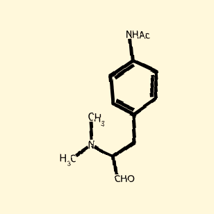 CC(=O)Nc1ccc(CC(C=O)N(C)C)cc1